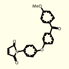 COc1ccc(C(=O)c2ccc(Oc3ccc(N4C(=O)C=CC4=O)cc3)cc2)cc1